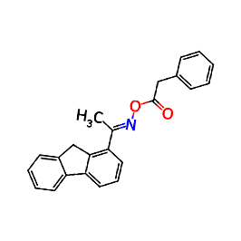 C/C(=N\OC(=O)Cc1ccccc1)c1cccc2c1Cc1ccccc1-2